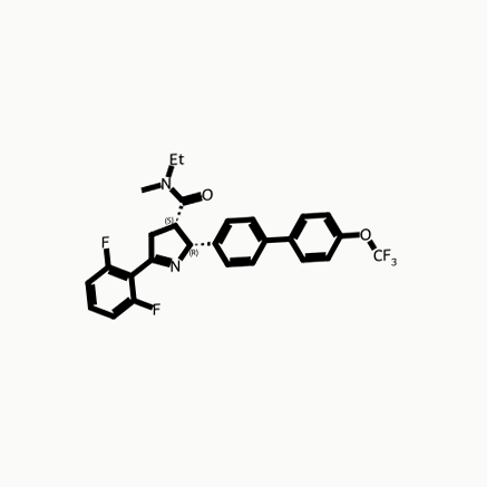 CCN(C)C(=O)[C@H]1CC(c2c(F)cccc2F)=N[C@H]1c1ccc(-c2ccc(OC(F)(F)F)cc2)cc1